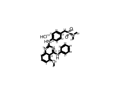 COc1cccc2nc(Nc3ccc(CS(=O)(=O)N(C)C)cc3)nc(Nc3ccccc3)c12.Cl